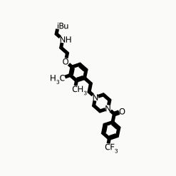 CCC(C)CNCCOc1ccc(CCN2CCN(C(=O)c3ccc(C(F)(F)F)cc3)CC2)c(C)c1C